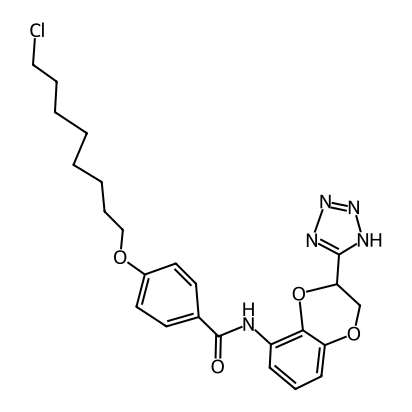 O=C(Nc1cccc2c1OC(c1nnn[nH]1)CO2)c1ccc(OCCCCCCCCCl)cc1